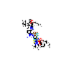 COC(C)(C)C1CN(Cc2ccccc2CNc2cc(F)c(SN(C(=O)OC(C)(C)C)c3cscn3)c(F)c2Br)C1